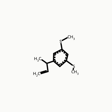 C=C[C](C)c1cc(SC)cc(SC)c1